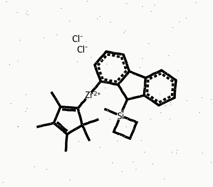 CC1=C(C)C(C)(C)[C]([Zr+2][c]2cccc3c2C([Si]2(C)CCC2)c2ccccc2-3)=C1C.[Cl-].[Cl-]